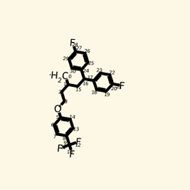 [CH2]C(CCOc1ccc(C(F)(F)F)cc1)CC(c1ccc(F)cc1)c1ccc(F)cc1